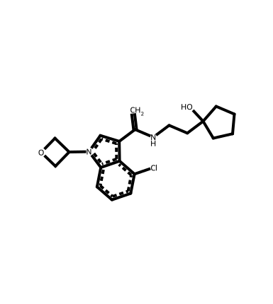 C=C(NCCC1(O)CCCC1)c1cn(C2COC2)c2cccc(Cl)c12